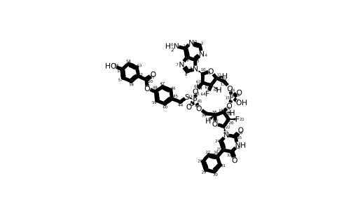 Nc1ncnc2c1ncn2[C@@H]1O[C@@H]2COP(=O)(O)O[C@H]3[C@@H](F)[C@H](n4cc(-c5ccccc5)c(=O)[nH]c4=O)O[C@@H]3CO[P@](=O)(SCc3ccc(OC(=O)c4ccc(O)cc4)cc3)O[C@@H]1[C@@H]2F